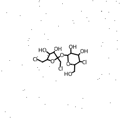 OCC1OC(OC2(CCl)OC(CCl)C(O)C2O)C(O)C(O)C1Cl